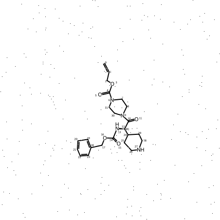 C=CCOC(=O)N1CCN(C(=O)[C@H](NC(=O)OCc2ccccc2)C2CCNCC2)CC1